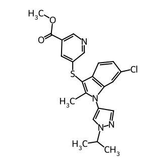 COC(=O)c1cncc(Sc2c(C)n(-c3cnn(C(C)C)c3)c3cc(Cl)ccc23)c1